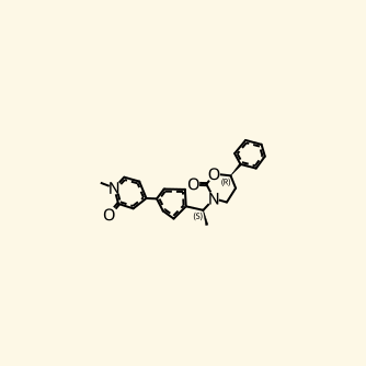 C[C@@H](c1ccc(-c2ccn(C)c(=O)c2)cc1)N1CC[C@H](c2ccccc2)OC1=O